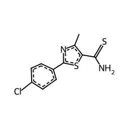 Cc1nc(-c2ccc(Cl)cc2)sc1C(N)=S